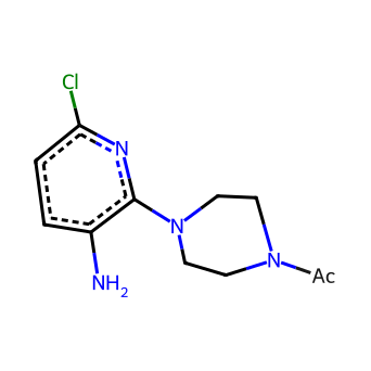 CC(=O)N1CCN(c2nc(Cl)ccc2N)CC1